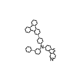 c1ccc(-c2cccc(N(c3ccc(-c4ccc5c6ccccc6c6ccccc6c5c4)cc3)c3ccc4sc5ccncc5c4c3)c2)cc1